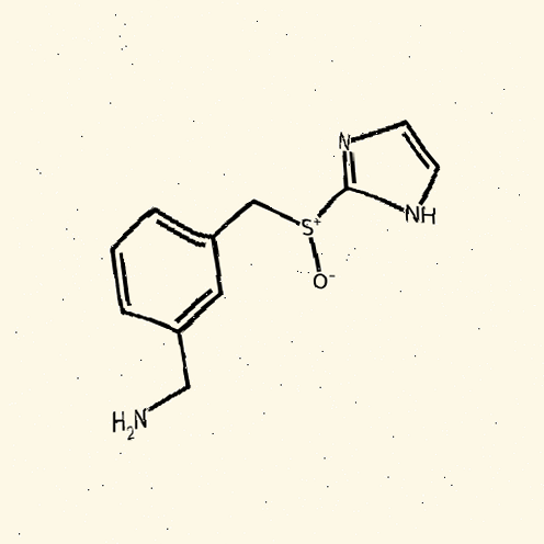 NCc1cccc(C[S+]([O-])c2ncc[nH]2)c1